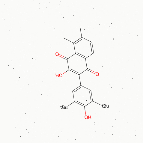 Cc1ccc2c(c1C)C(=O)C(O)=C(c1cc(C(C)(C)C)c(O)c(C(C)(C)C)c1)C2=O